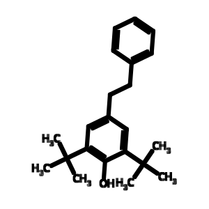 CC(C)(C)c1cc(CCc2ccccc2)cc(C(C)(C)C)c1O